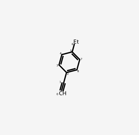 C#Cc1ccc(CC)cc1